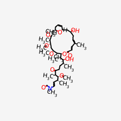 CO[C@H]([C@H](C)/C=C/N(C)C=O)[C@@H](C)C(=O)CC[C@H](C)[C@H](O)[C@H](C)[C@H]1OC(=O)/C=C/C(C)=C/C[C@H](O)C[C@@H]2C=CC[C@@H](C[C@H](OC)[C@@H](C)[C@@H](OC)C[C@@H](OC)[C@@H]1C)O2